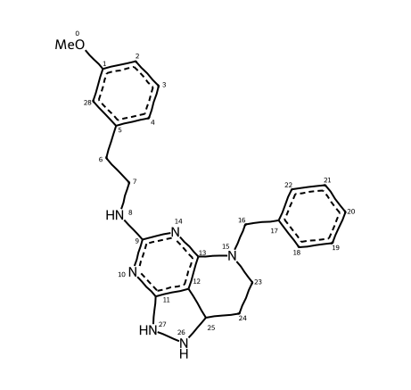 COc1cccc(CCNc2nc3c4c(n2)N(Cc2ccccc2)CCC4NN3)c1